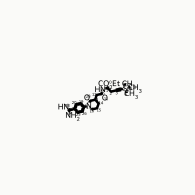 CCOC(=O)C(CC#C[Si](C)(C)C)NC(=O)CC1CCCN(c2ccc(C(=N)N)cc2)C1=O